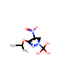 CC(C)Oc1nn(C(O)(O)O)cc1[N+](=O)[O-]